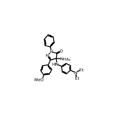 CCN(CC)c1ccc(NC2(NC(C)=O)C(=O)N(c3ccccc3)N=C2c2ccc(OC)cc2)cc1